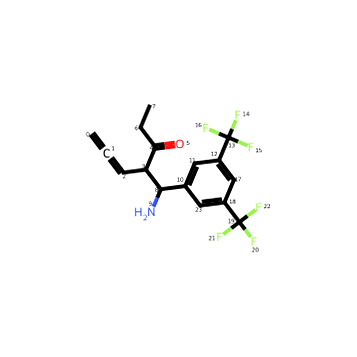 C=C=CC(C(=O)CC)C(N)c1cc(C(F)(F)F)cc(C(F)(F)F)c1